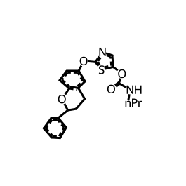 CCCNC(=O)Oc1cnc(Oc2ccc3c(c2)CCC(c2ccccc2)O3)s1